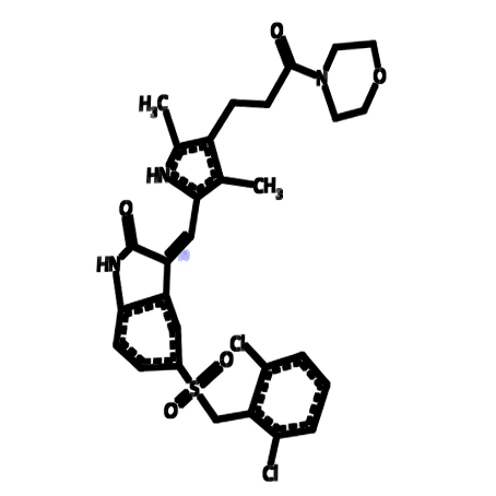 Cc1[nH]c(/C=C2\C(=O)Nc3ccc(S(=O)(=O)Cc4c(Cl)cccc4Cl)cc32)c(C)c1CCC(=O)N1CCOCC1